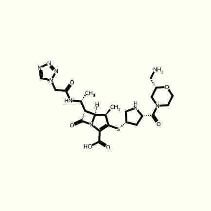 C[C@@H](NC(=O)Cn1cnnn1)[C@H]1C(=O)N2C(C(=O)O)=C(S[C@@H]3CN[C@H](C(=O)N4CCO[C@@H](CN)C4)C3)[C@H](C)[C@H]12